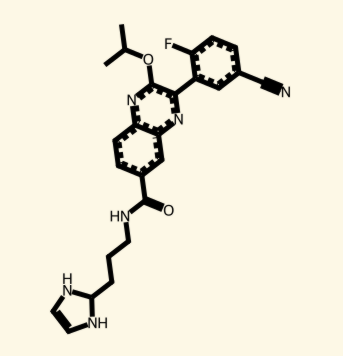 CC(C)Oc1nc2ccc(C(=O)NCCCC3NC=CN3)cc2nc1-c1cc(C#N)ccc1F